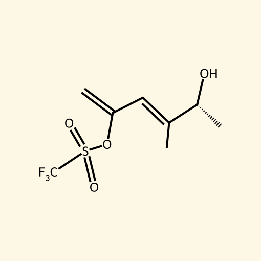 C=C(/C=C(\C)[C@@H](C)O)OS(=O)(=O)C(F)(F)F